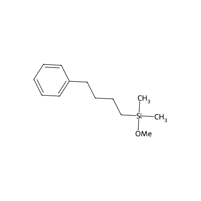 CO[Si](C)(C)CCCCc1ccccc1